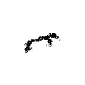 O=C1CCC(N2Cc3cc(OCCOCCN4CCN(Cc5ccc6c(c5)nc(NC(=O)c5cccc(C(F)(F)F)c5)n6-c5ccc(CO)cc5)CC4)ccc3C2=O)C(=O)N1